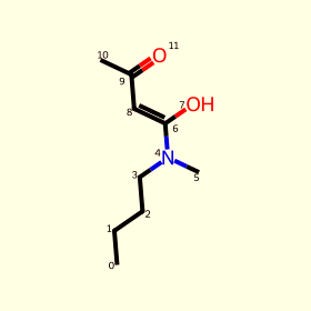 CCCCN(C)/C(O)=C/C(C)=O